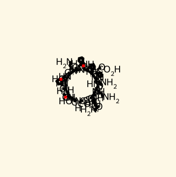 CC(=O)O.CC(O)[C@@H]1NC(=O)[C@H](Cc2ccccc2)NC(=O)[C@H](C(C)O)NC(=O)[C@H](CCCCN)NC(=O)[C@H](Cc2c[nH]c3ccccc23)NC(=O)[C@H](Cc2ccccc2)NC(=O)[C@H](Cc2ccccc2)NC(=O)[C@H](CC(N)=O)NC(=O)[C@H](CCCCN)NC(=O)[C@@H](NC(=O)CNC(=O)[C@H](C)N)CSSC[C@@H](C(=O)O)NC(=O)[C@H](CO)NC1=O.O